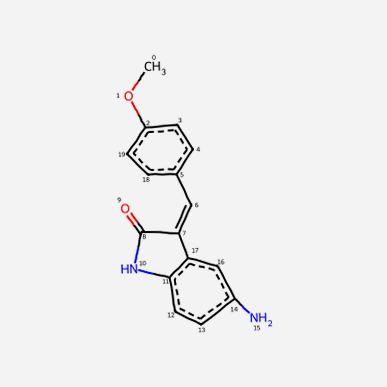 COc1ccc(C=C2C(=O)Nc3ccc(N)cc32)cc1